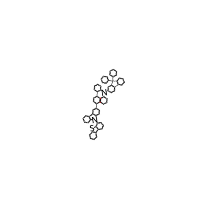 c1ccc(N(c2ccc3c(c2)C(c2ccccc2)(c2ccccc2)c2ccccc2-3)c2ccccc2-c2ccc(-c3ccc4c(c3)c3ccccc3n4-c3cccc4c3sc3ccccc34)cc2)cc1